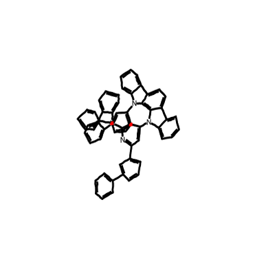 c1ccc(-c2cccc(-c3cc(-n4c5ccccc5c5ccc6c7ccccc7n(-c7cccc(-c8ccccc8)c7)c6c54)cc(-n4c5ccccc5c5ccccc54)n3)c2)cc1